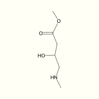 CNCC(O)CC(=O)OC